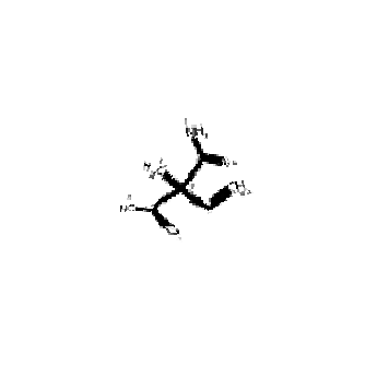 C=CC(C)(C(N)=O)C(=O)O